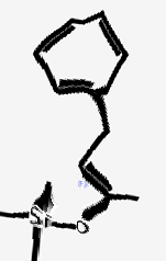 C/C(=C\Cc1ccccc1)O[Si](C)(C)C